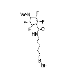 B=BCCCCCCNC(=O)c1c(F)c(F)c(NC)c(F)c1F